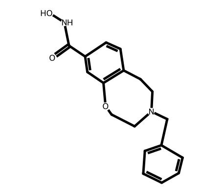 O=C(NO)c1ccc2c(c1)OCCN(Cc1ccccc1)CC2